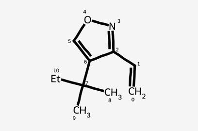 C=Cc1nocc1C(C)(C)CC